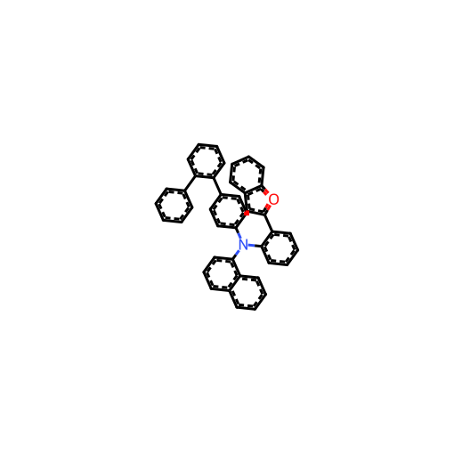 c1ccc(-c2ccccc2-c2ccc(N(c3ccccc3-c3cc4ccccc4o3)c3cccc4ccccc34)cc2)cc1